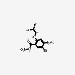 CCc1cc(C(=O)O[N+](=O)[O-])c(OCC(F)F)cc1NC